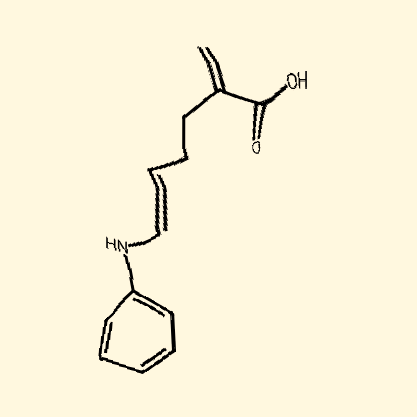 C=C(CCC=CNc1ccccc1)C(=O)O